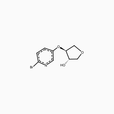 O[C@H]1COC[C@@H]1Oc1ccc(Br)nc1